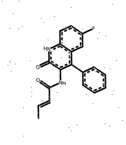 C/C=C/C(=O)Nc1c(-c2ccccc2)c2cc(F)ccc2[nH]c1=O